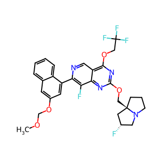 COCOc1cc(-c2ncc3c(OCC(F)(F)F)nc(OC[C@@]45CCCN4C[C@H](F)C5)nc3c2F)c2ccccc2c1